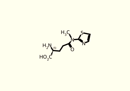 CN(C(=O)CC[C@H](N)C(=O)O)c1nccs1